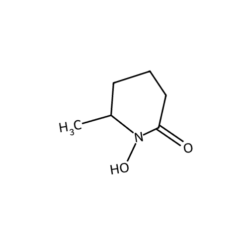 CC1CCCC(=O)N1O